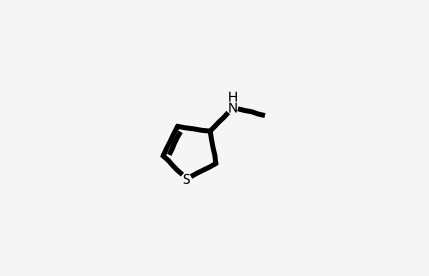 CNC1C=CSC1